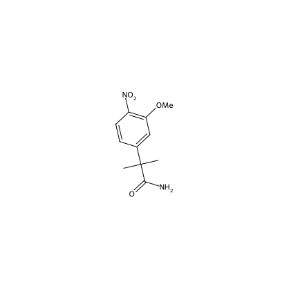 COc1cc(C(C)(C)C(N)=O)ccc1[N+](=O)[O-]